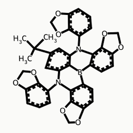 CC(C)(C)c1cc2c3c(c1)N(c1cccc4c1OCO4)c1c(ccc4c1OCO4)B3c1ccc3c(c1N2c1cccc2c1OCO2)OCO3